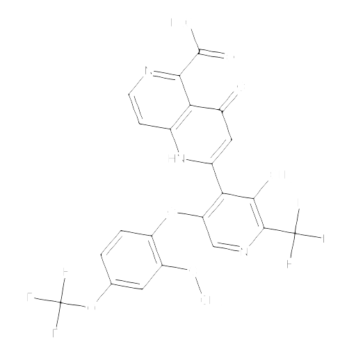 COc1cc(OC(F)(F)F)ccc1Oc1cnc(C(F)(F)F)c(C)c1-c1cc(=O)c2c(C(C)=O)nccc2[nH]1